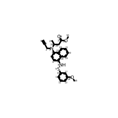 C#CCN(c1ccc(NSc2cccc(OC)c2)c2ccccc12)C(C)CC(=O)OC